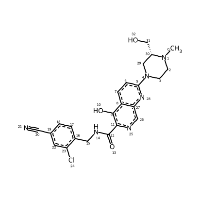 CN1CCN(c2ccc3c(O)c(C(=O)NCc4ccc(C#N)cc4Cl)ncc3n2)C[C@@H]1CO